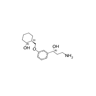 NCC[C@@H](O)c1cccc(OC[C@@H]2CCCC[C@H]2O)c1